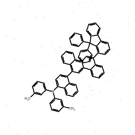 Cc1cccc(N(c2cccc(C)c2)c2ccc(-c3cc4c5ccccc5c(-c5cccc6c5C(c5ccccc5)(c5ccccc5)c5ccccc5-6)cc4c4ccccc34)c3ccccc23)c1